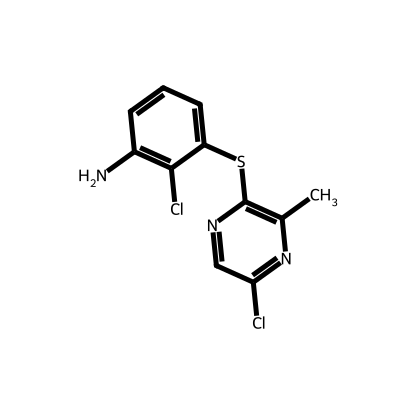 Cc1nc(Cl)cnc1Sc1cccc(N)c1Cl